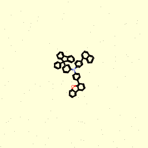 c1ccc(C2(c3cccc(N(c4ccc(-c5cccc6ccccc56)cc4)c4ccc(-c5cccc6c5oc5ccccc56)cc4)c3)c3ccccc3-c3ccccc32)cc1